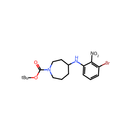 CC(C)(C)OC(=O)N1CCCC(Nc2cccc(Br)c2[N+](=O)[O-])CC1